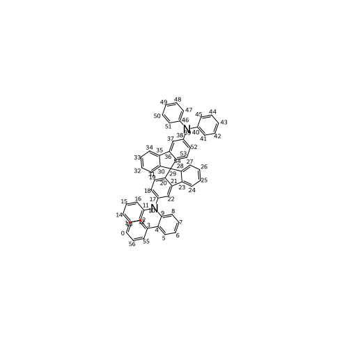 c1ccc(-c2ccccc2N(c2ccccc2)c2ccc3c(c2)-c2ccccc2C32c3ccccc3-c3cc(N(c4ccccc4)c4ccccc4)ccc32)cc1